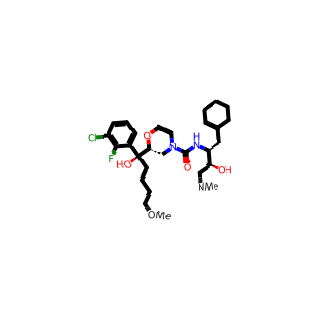 CNC[C@H](O)[C@H](CC1CCCCC1)NC(=O)N1CCO[C@@H]([C@](O)(CCCCOC)c2cccc(Cl)c2F)C1